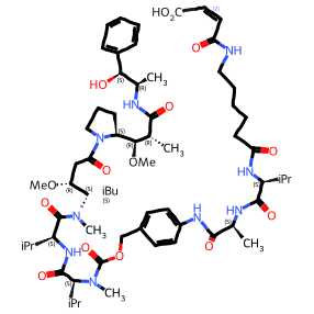 CC[C@H](C)[C@@H]([C@@H](CC(=O)N1CCC[C@H]1[C@H](OC)[C@@H](C)C(=O)N[C@H](C)[C@@H](O)c1ccccc1)OC)N(C)C(=O)[C@@H](NC(=O)[C@H](C(C)C)N(C)C(=O)OCc1ccc(NC(=O)[C@H](C)NC(=O)[C@@H](NC(=O)CCCCCNC(=O)/C=C\C(=O)O)C(C)C)cc1)C(C)C